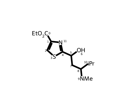 CCOC(=O)c1csc(C(O)CC(NC)C(C)C)n1